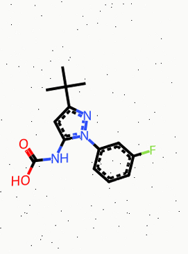 CC(C)(C)c1cc(NC(=O)O)n(-c2cccc(F)c2)n1